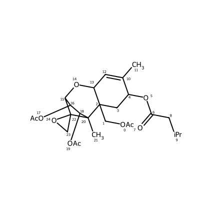 CC(=O)OCC12CC(OC(=O)CC(C)C)C(C)=CC1OC1C(OC(C)=O)C(OC(C)=O)C2(C)C12CO2